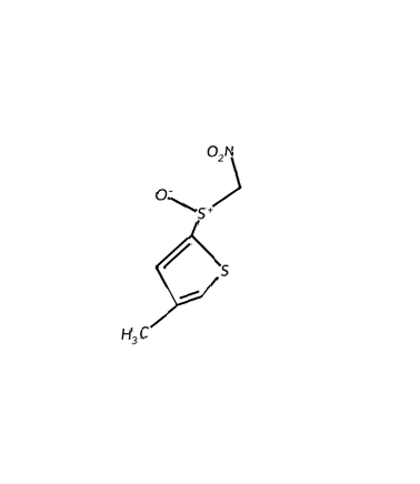 Cc1csc([S+]([O-])C[N+](=O)[O-])c1